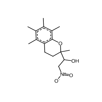 Cc1c(C)c(C)c2c(c1C)CCC(C)(C(O)C[N+](=O)[O-])O2